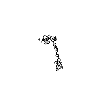 CS(=O)(=O)N1CCc2cccc(Nc3nc(Nc4ccc(N5CCC(N6CCN(CCC7CCN(c8ccc9c(c8)C(=O)N(C8CCC(=O)NC8=O)C9=O)CC7)CC6)CC5)c5c4OCC5)ncc3Cl)c21